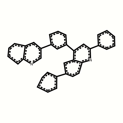 c1ccc(-c2ccc3nc(-c4ccccc4)cc(-c4cccc(-c5cnc6ccccc6c5)c4)c3c2)cc1